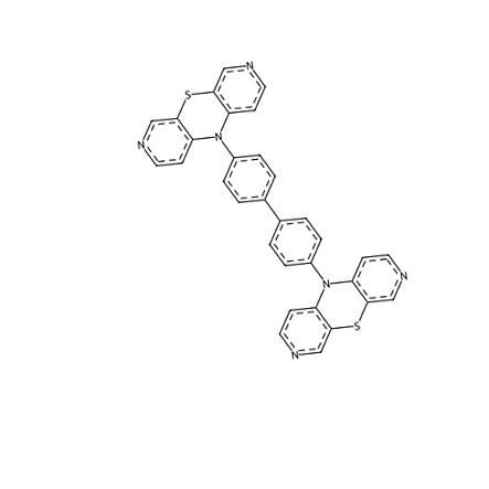 c1cc2c(cn1)Sc1cnccc1N2c1ccc(-c2ccc(N3c4ccncc4Sc4cnccc43)cc2)cc1